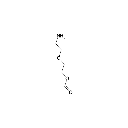 NCCOCCOC=O